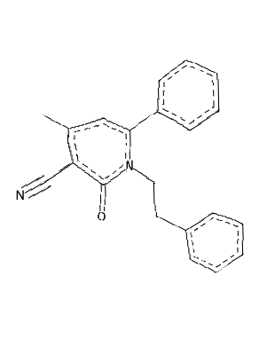 Cc1cc(-c2ccccc2)n(CCc2ccccc2)c(=O)c1C#N